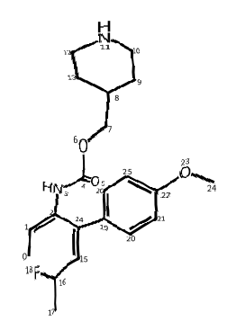 C/C=C(NC(=O)OCC1CCNCC1)\C(=C/C(C)F)c1ccc(OC)cc1